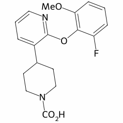 COc1cccc(F)c1Oc1ncccc1C1CCN(C(=O)O)CC1